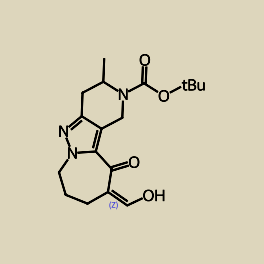 CC1Cc2nn3c(c2CN1C(=O)OC(C)(C)C)C(=O)/C(=C\O)CCC3